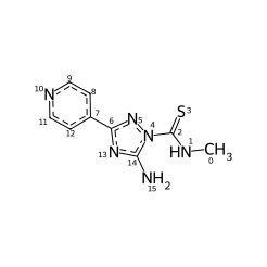 CNC(=S)n1nc(-c2ccncc2)nc1N